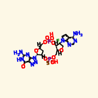 Nc1nc2c(nnn2[C@@H]2O[C@@H]3COP(=O)(O)O[C@@H]4[C@@H](COP(O)(=S)O[C@@H]2C3)OC[C@@]4(F)n2ccc3c(N)ncnc32)c(=O)[nH]1